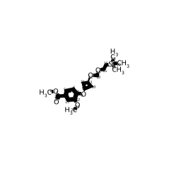 COC(=O)c1ccc(O[C@H]2C[C@H](OCOCC[Si](C)(C)C)C2)c(OC)c1